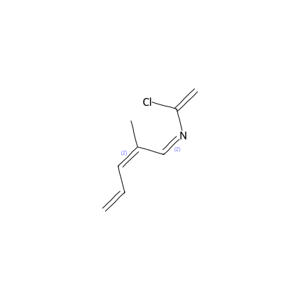 C=C/C=C(C)\C=N/C(=C)Cl